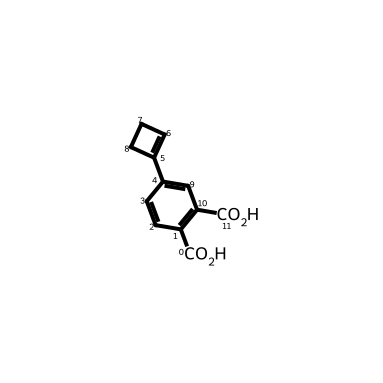 O=C(O)c1ccc(C2=CCC2)cc1C(=O)O